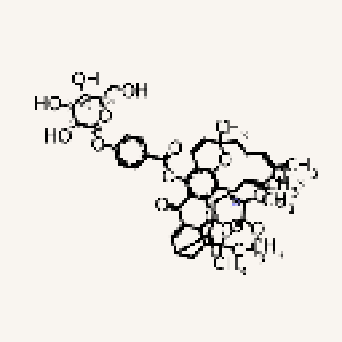 COC(=O)/C(C)=C\CC12OC(C)(C)C3CC(C=C4C(=O)c5c(OC(=O)c6ccc(O[C@@H]7O[C@H](CO)[C@@H](O)[C@H](O)[C@H]7O)cc6)c6c(c(CC=C(C)C)c5OC431)OC(C)(CCC=C(C)C)C=C6)C2=O